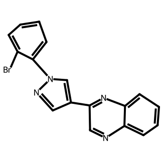 Brc1ccccc1-n1cc(-c2cnc3ccccc3n2)cn1